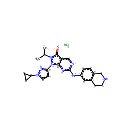 CC(C)n1c(=O)c2cnc(Nc3ccc4c(c3)CCNC4)nc2n1-c1ccn(C2CC2)n1.Cl